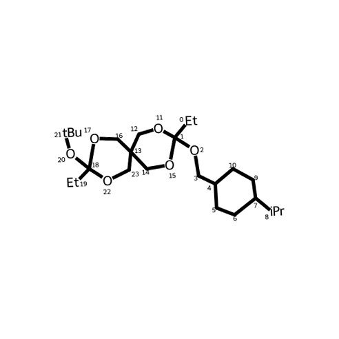 CCC1(OCC2CCC(C(C)C)CC2)OCC2(CO1)COC(CC)(OC(C)(C)C)OC2